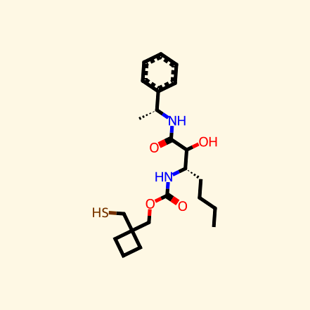 CCCC[C@H](NC(=O)OCC1(CS)CCC1)C(O)C(=O)N[C@H](C)c1ccccc1